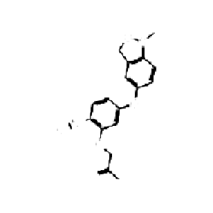 [C-]#[N+]c1ccc(Oc2ccc3c(c2)COB3C)cc1OCC(C)=O